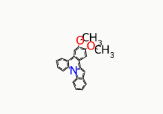 COc1cc2c3ccccc3n3c4ccccc4cc3c2cc1OC